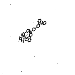 CC1(C)c2ccccc2-c2ccc(N(c3cccc(C4=CC=CNC4)c3)C3C=CC(c4ccc5c(c4)c4ccccc4n5-c4ccccc4)=CC3)cc21